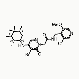 COc1cncc(Cl)c1CNC(=O)Cn1ncc(N[C@@H]2C[C@H](C)C(C)(C)[C@H](C)[C@H]2C)c(Br)c1=O